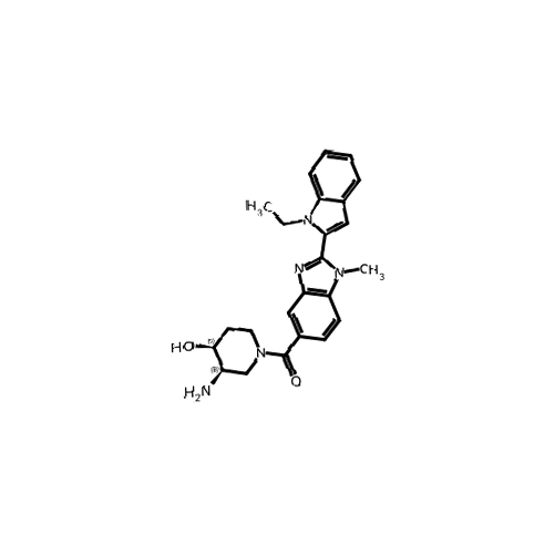 CCn1c(-c2nc3cc(C(=O)N4CC[C@H](O)[C@H](N)C4)ccc3n2C)cc2ccccc21